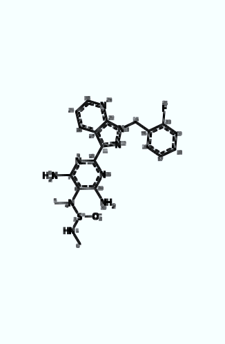 CN[S+]([O-])N(C)c1c(N)nc(-c2nn(Cc3ccccc3F)c3ncccc23)nc1N